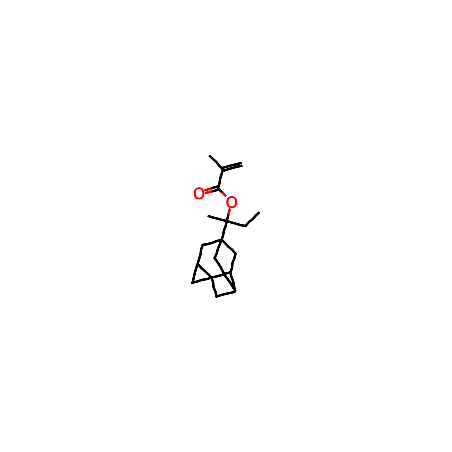 C=C(C)C(=O)OC(C)(CC)C12CC3CC4(CC4C1)C3C2